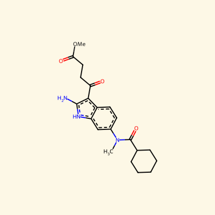 COC(=O)CCC(=O)c1c(N)[nH]c2cc(N(C)C(=O)C3CCCCC3)ccc12